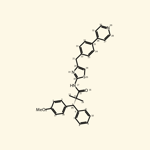 COc1ccc([C@@H](c2ccccc2)C(C)(C)C(=O)Nc2nc(Cc3ccc(-c4ccncc4)cc3)cs2)cc1